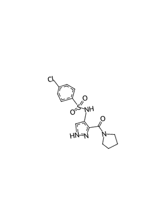 O=C(c1n[nH]cc1NS(=O)(=O)c1ccc(Cl)cc1)N1CCCC1